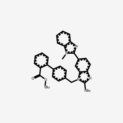 CCCCc1nc2ccc(-c3nc4ccccc4n3C)cc2n1Cc1ccc(-c2ccccc2C(=O)OC(C)(C)C)cc1